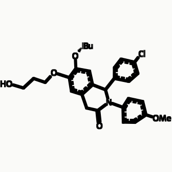 CC[C@@H](C)Oc1cc2c(cc1OCCCO)CC(=O)N(c1ccc(OC)cc1)C2c1ccc(Cl)cc1